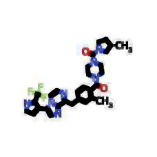 Cc1cc(Cc2nccn3c(C4=CCN=C4C(F)(F)F)cnc23)ccc1C(=O)N1CCN(C(=O)N2CC[C@H](C)C2)CC1